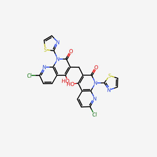 O=c1c(Cc2c(O)c3ccc(Cl)nc3n(-c3nccs3)c2=O)c(O)c2ccc(Cl)nc2n1-c1nccs1